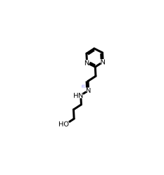 OCCCN/N=C/Cc1ncccn1